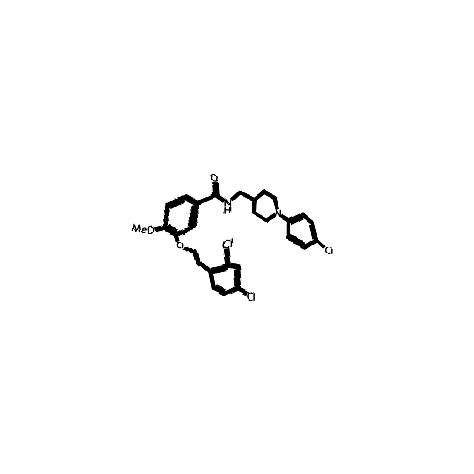 COc1ccc(C(=O)NCC2CCN(c3ccc(Cl)cc3)CC2)cc1OCCc1ccc(Cl)cc1Cl